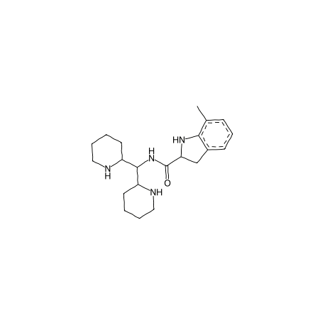 Cc1cccc2c1NC(C(=O)NC(C1CCCCN1)C1CCCCN1)C2